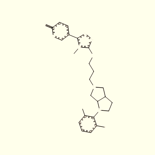 Cn1c(SCCCN2CC3CCN(c4c(F)cccc4F)C3C2)nnc1-c1ccc(=O)[nH]c1